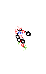 CC(OCc1ccccc1)C(NC(=O)c1ccc2cc(F)ccc2c1OCc1ccc(OC(F)(F)F)cc1)C(=O)O